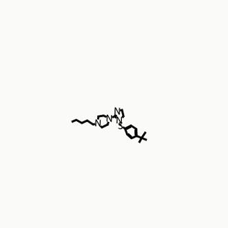 CCCCCN1CCN(C2=NCCN2Sc2ccc(C(C)(C)C)cc2)CC1